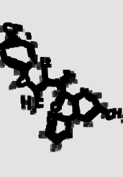 CCC(C(C)Oc1cnc(C(F)(F)F)cn1)N(CC)C(=O)c1ncc(C)cc1-n1nccn1